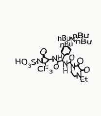 CCCC[N+](CCCC)(CCCC)CCCC.CCN1CCN(C(=O)NC(C(=O)NC2C(=O)N(S(=O)(=O)O)C2C(F)(F)F)c2ccccc2)C(=O)C1=O